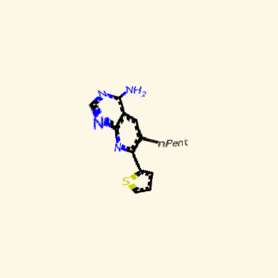 CCCCCc1cc2c(N)ncnc2nc1-c1cccs1